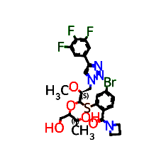 CO[C@@H](Cn1cc(-c2cc(F)c(F)c(F)c2)nn1)C(OC(CO)[C@@H](C)O)Sc1cc(Br)ccc1C(=O)N1CCC1